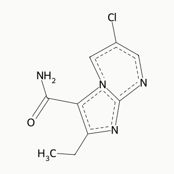 CCc1nc2ncc(Cl)cn2c1C(N)=O